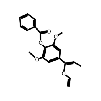 C=CO/C(=C\C)c1cc(OC)c(OC(=O)c2ccccc2)c(OC)c1